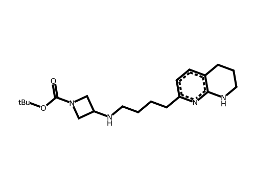 CC(C)(C)OC(=O)N1CC(NCCCCc2ccc3c(n2)NCCC3)C1